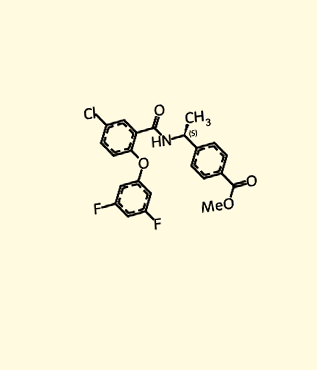 COC(=O)c1ccc([C@H](C)NC(=O)c2cc(Cl)ccc2Oc2cc(F)cc(F)c2)cc1